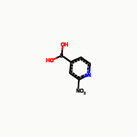 O=[N+]([O-])c1cc(B(O)O)ccn1